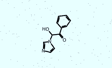 O=C(c1ccccc1)C(O)n1ccnc1